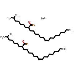 CCCCCCCC/C=C\CCCCCCC(CCCCCC(C)C)C([O-])=S.CCCCCCCC/C=C\CCCCCCC(CCCCCC(C)C)C([O-])=S.[Sn+2]